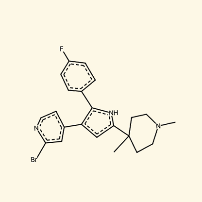 CN1CCC(C)(c2cc(-c3ccnc(Br)c3)c(-c3ccc(F)cc3)[nH]2)CC1